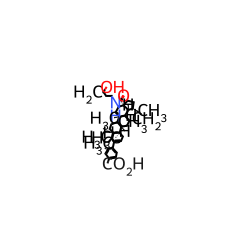 C=C(O)CCNC(=O)[C@]12CC[C@@H](C(=C)C)[C@@H]1[C@H]1CC[C@@H]3[C@@]4(C)CC=C(c5ccc(C(=O)O)cc5)C(C)(C)[C@@H]4CC[C@@]3(C)[C@]1(C)CC2